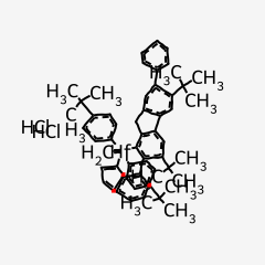 Cl.Cl.[CH2]=[Hf]([C]1=CC=CC1)([c]1ccc(C(C)(C)C)cc1)([c]1ccc(C(C)(C)C)cc1)[c]1c2c(cc(C(C)(C)C)c1-c1ccccc1)-c1cc(C(C)(C)C)c(-c3ccccc3)cc1C2